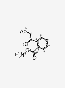 CC(=O)CC(=O)c1ccccc1C(=O)ON